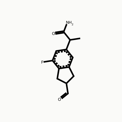 CC(C(N)=O)c1cc(F)c2c(c1)CC(C=O)C2